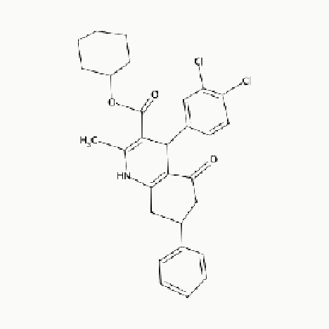 CC1=C(C(=O)OC2CCCCC2)C(c2ccc(Cl)c(Cl)c2)C2=C(CC(c3ccccc3)CC2=O)N1